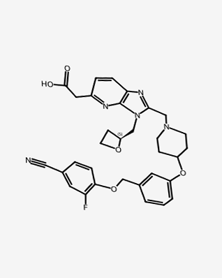 N#Cc1ccc(OCc2cccc(OC3CCN(Cc4nc5ccc(CC(=O)O)nc5n4C[C@@H]4CCO4)CC3)c2)c(F)c1